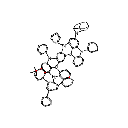 CC(C)(C)c1cc2c3c(c1)N(c1c(-c4ccccc4)cc(-c4ccccc4)cc1-c1ccccc1)c1ccccc1B3c1cc3c(cc1N2c1ccccc1)N(c1ccccc1)c1cc(N2C4CC5CC(C4)CC2C5)cc2c1B3c1ccccc1N2c1ccccc1